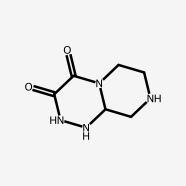 O=C1NNC2CNCCN2C1=O